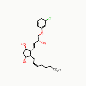 O=C(O)CCC/C=C\C[C@@H]1[C@@H](/C=C/[C@@H](O)COC2=CC(Cl)CC=C2)[C@H](O)C[C@@H]1O